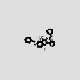 Cc1c2cc(OCc3ccccc3)ccc2cc(-c2ccccc2OCc2ccccc2)[n+]1C.[I-]